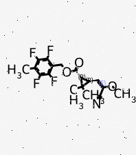 CO/C(C#N)=C/[C@@H]1[C@@H](C(=O)OCc2c(F)c(F)c(C)c(F)c2F)C1(C)C